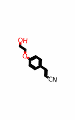 N#CC=Cc1ccc(OCCO)cc1